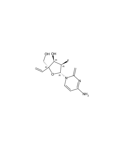 C=C[C@]1(CO)O[C@@H](N2C=CC(N)=NC2=C)[C@H](F)[C@@H]1O